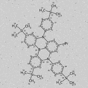 CC(C)c1cc2c3c(c1)N(c1ccc([Si](C)(C)C)cc1)c1cc([Si](C)(C)C)ccc1B3c1ccc([Si](C)(C)C)cc1N2c1ccc([Si](C)(C)C)cc1